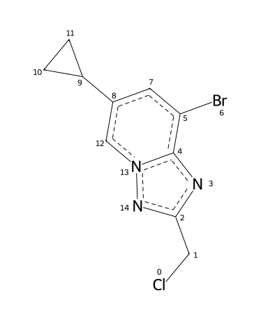 ClCc1nc2c(Br)cc(C3CC3)cn2n1